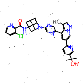 CC(C)(O)c1ccc(-c2cc(-c3cnc(N4C5CC6CC7(NC(=O)c8ncccc8Cl)CC4C657)cn3)c3c(C#N)cnn3c2)nc1